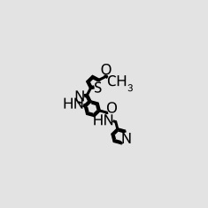 CC(=O)c1ccc(-c2n[nH]c3ccc(C(=O)NCc4cccnc4)cc23)s1